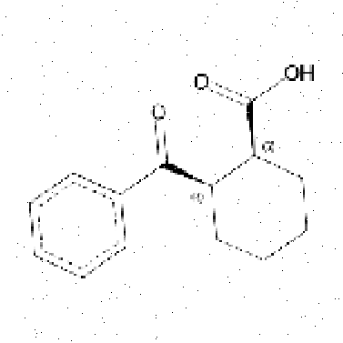 O=C(O)[C@H]1CCCC[C@H]1C(=O)c1ccccc1